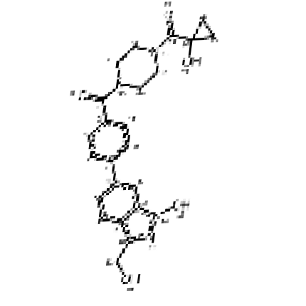 O=C(c1ccc(-c2ccc3c(CO)nn(O)c3c2)cc1)N1CCN(C(=O)C2(O)CC2)CC1